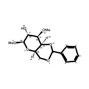 CO[C@@H]1O[C@@H]2COC(c3ccccc3)O[C@@H]2[C@H](OC)[C@H]1O